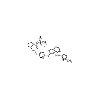 Cn1ccc(Nc2ncnc3ccc(Oc4ccc(OCCC5CCCN5C(=O)OC(C)(C)C)cn4)cc23)n1